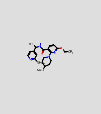 COC1CCN(c2nc(OCC(F)(F)F)ccc2C(=O)NC(C)c2ccnc(NC(C)=O)c2)CC1